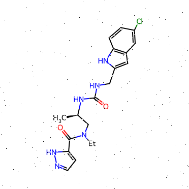 CCN(C[C@@H](C)NC(=O)NCc1cc2cc(Cl)ccc2[nH]1)C(=O)c1ccn[nH]1